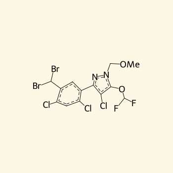 COCn1nc(-c2cc(C(Br)Br)c(Cl)cc2Cl)c(Cl)c1OC(F)F